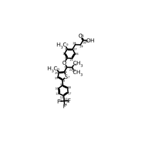 Cc1cc(OC(c2sc(-c3ccc(C(F)(F)F)cc3)cc2C)C(C)C)ccc1CCC(=O)O